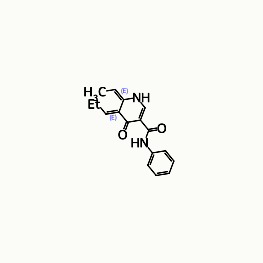 C/C=c1/[nH]cc(C(=O)Nc2ccccc2)c(=O)/c1=C/CC